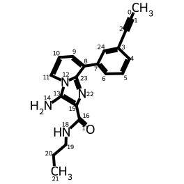 CC#Cc1cccc(-c2cccn3c(N)c(C(=O)NCCC)nc23)c1